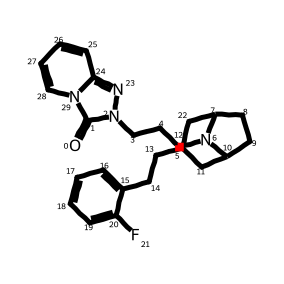 O=c1n(CCCN2C3CCC2CC(CCc2ccccc2F)C3)nc2ccccn12